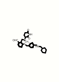 CN(Cc1c(C=O)cccc1SCc1ccc(CNCC2CCCCC2)cc1)C1CCC(=O)NC1=O